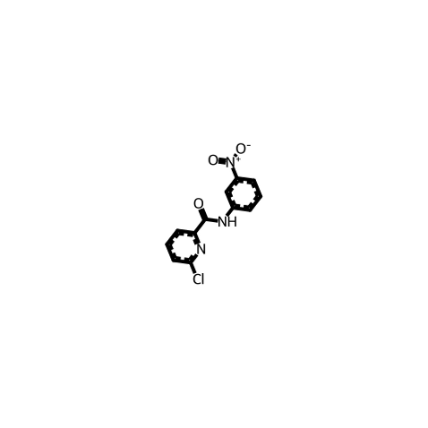 O=C(Nc1cccc([N+](=O)[O-])c1)c1cccc(Cl)n1